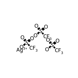 O=S(=O)([O-])C(F)(F)F.O=S(=O)([O-])C(F)(F)F.O=S(=O)([O-])C(F)(F)F.[Ag+3]